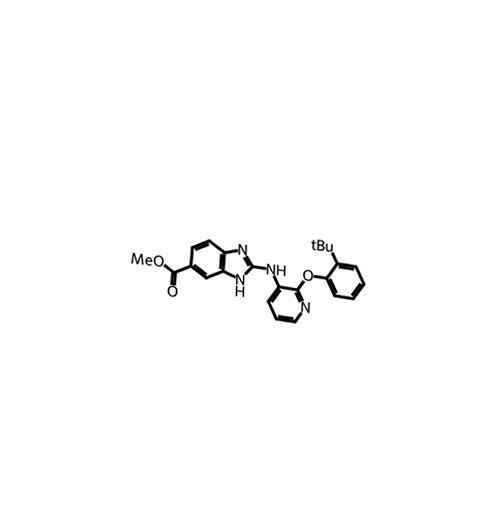 COC(=O)c1ccc2nc(Nc3cccnc3Oc3ccccc3C(C)(C)C)[nH]c2c1